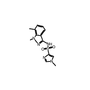 Cc1cccc2c(NS(=O)(=O)c3cn(C)cn3)nn(C)c12